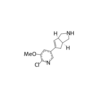 COc1cc(C2=C[C@H]3CNC[C@H]3C2)cnc1Cl